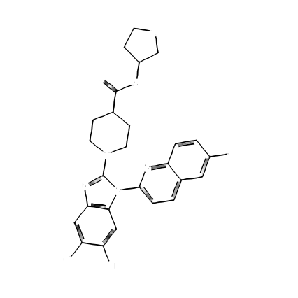 O=C(NC1CCOC1)C1CCN(c2nc3cc(Cl)c(Cl)cc3n2-c2ccc3cc(Cl)ccc3n2)CC1